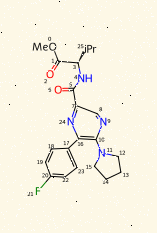 COC(=O)[C@H](NC(=O)c1cnc(N2CCCC2)c(-c2ccc(F)cc2)n1)C(C)C